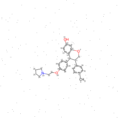 Cc1ccc(C2COc3cc(O)ccc3C2c2ccc(OCCN3CCCC3)cc2)cc1